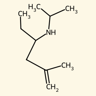 C=C(C)CC(CC)NC(C)C